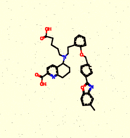 Cc1ccc2oc(-c3ccc(COc4ccccc4CCN(CCCCC(=O)O)C4CCCc5nc(C(=O)O)ccc54)cc3)nc2c1